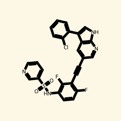 O=S(=O)(Nc1ccc(F)c(C#Cc2cnc3[nH]cc(-c4ccccc4Cl)c3c2)c1F)c1cccnc1